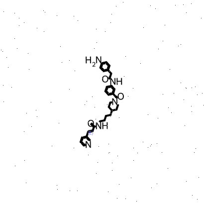 Nc1ccc(CC(=O)Nc2cccc(C(=O)N3CCC(CCCCNC(=O)/C=C/c4cccnc4)CC3)c2)cc1